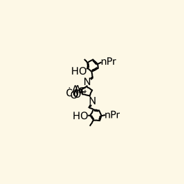 CC(=O)[O-].CC(=O)[O-].CCCc1cc(C)c(O)c(C=NC2CCC(N=Cc3cc(CCC)cc(C)c3O)C2)c1.[Co+2]